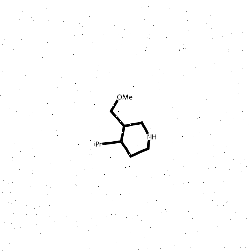 COCC1CNCCC1C(C)C